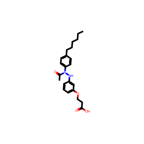 CCCCCCc1ccc(N(Nc2cccc(OCCC(=O)O)c2)C(C)=O)cc1